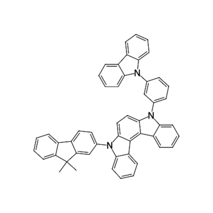 CC1(C)c2ccccc2-c2ccc(-n3c4ccccc4c4c5c6ccccc6n(-c6cccc(-n7c8ccccc8c8ccccc87)c6)c5ccc43)cc21